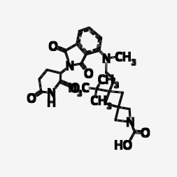 CN(CCC1(C(C)(C)C)CC2(CN(C(=O)O)C2)C1)c1cccc2c1C(=O)N(C1CCC(=O)NC1=O)C2=O